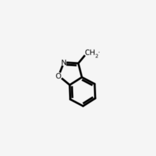 [CH2]c1noc2ccccc12